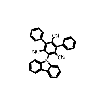 N#Cc1c(-c2ccccc2)c(C#N)c(-n2c3ccccc3c3ccccc32)c(C#N)c1-c1ccccc1